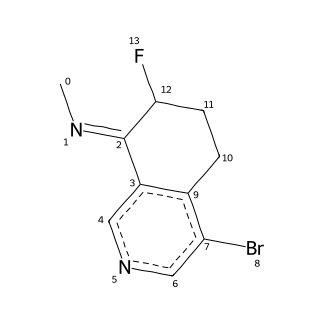 C/N=C1/c2cncc(Br)c2CCC1F